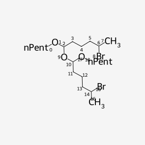 CCCCCOC(CCCC(C)Br)OC(CCCC(C)Br)OCCCCC